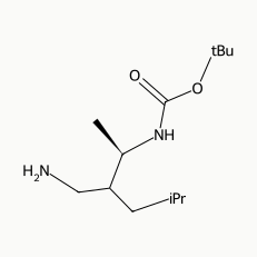 CC(C)CC(CN)[C@@H](C)NC(=O)OC(C)(C)C